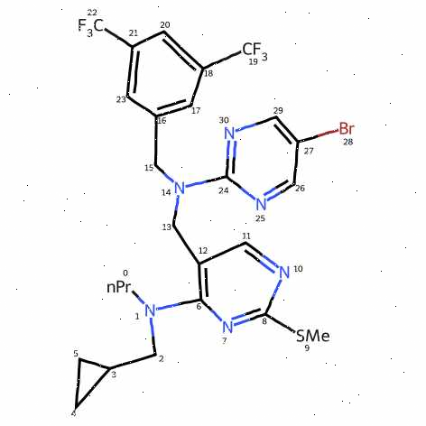 CCCN(CC1CC1)c1nc(SC)ncc1CN(Cc1cc(C(F)(F)F)cc(C(F)(F)F)c1)c1ncc(Br)cn1